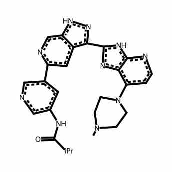 CC(C)C(=O)Nc1cncc(-c2cc3c(-c4nc5c(N6CCN(C)CC6)ccnc5[nH]4)n[nH]c3cn2)c1